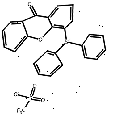 O=S(=O)([O-])C(F)(F)F.O=c1c2ccccc2oc2c([S+](c3ccccc3)c3ccccc3)cccc12